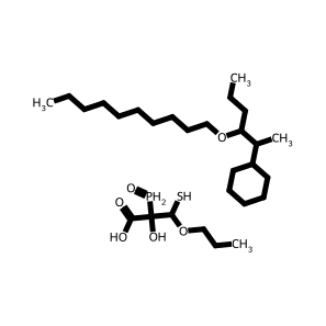 CCCCCCCCCCOC(CCC)C(C)C1CCCCC1.CCCOC(S)C(O)([PH2]=O)C(=O)O